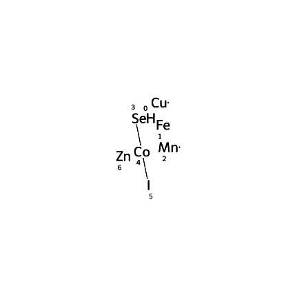 [Cu].[Fe].[Mn].[SeH][Co][I].[Zn]